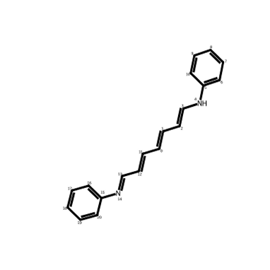 C(=C\C=C\Nc1ccccc1)/C=C/C=N/c1ccccc1